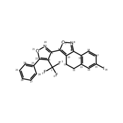 FC(F)(F)c1c(-c2onc3c2CCc2cc(I)ccc2-3)noc1-c1ccccc1